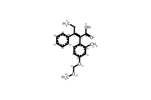 CCC(=C(C(=O)O)c1ccc(OCOC)cc1C)c1ccccc1